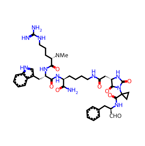 CN[C@@H](CCCNC(=N)N)C(=O)N[C@@H](Cc1c[nH]c2ccccc12)C(=O)N[C@@H](CCCCNC(=O)C[C@@H]1NC(=O)N(C2(C(=O)N[C@@H](C=O)Cc3ccccc3)CC2)C1=O)C(N)=O